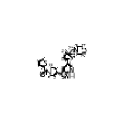 O=C(c1cccs1)N1CC=C(c2c[nH]c3ncc(-c4ccc(CN5CCOCC5)s4)cc23)CC1